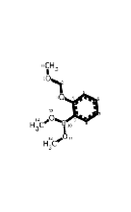 COCOc1ccccc1B(OC)OC